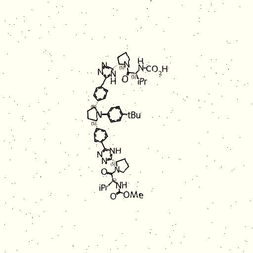 COC(=O)N[C@H](C(=O)N1CCC[C@H]1c1nnc(-c2ccc([C@@H]3CC[C@H](c4ccc(-c5nnc([C@@H]6CCCN6C(=O)[C@@H](NC(=O)O)C(C)C)[nH]5)cc4)N3c3ccc(C(C)(C)C)cc3)cc2)[nH]1)C(C)C